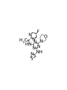 C[C@H](Nc1nc(Nc2cscn2)nc(N2CCOCC2)n1)c1ncc(F)cn1